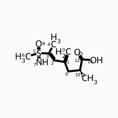 C=C(/C=C(\C)S(C)(=N)=O)C[C@H](C)C(=O)O